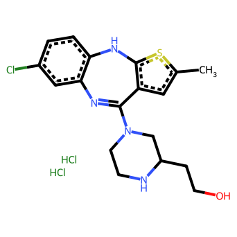 Cc1cc2c(s1)Nc1ccc(Cl)cc1N=C2N1CCNC(CCO)C1.Cl.Cl